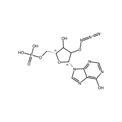 [N-]=[N+]=NOC1C(O)[C@@H](COP(=O)(O)O)O[C@H]1n1cnc2c(O)ncnc21